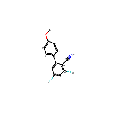 COc1ccc(-c2cc(F)cc(F)c2C#N)cc1